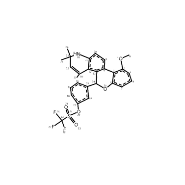 COc1cccc2c1-c1ccc3c(c1C(c1cccc(OS(=O)(=O)C(F)(F)F)c1)O2)C(C)=CC(C)(C)N3